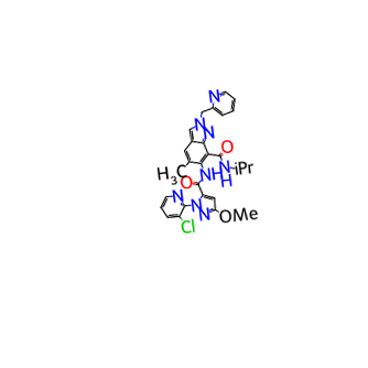 COc1cc(C(=O)Nc2c(C)cc3cn(Cc4ccccn4)nc3c2C(=O)NC(C)C)n(-c2ncccc2Cl)n1